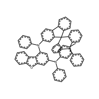 Fc1ccc(N(c2ccccc2)c2cc(N(c3ccccc3)c3ccc4c(c3)C3(c5ccccc5-4)c4ccccc4N(c4ccccc4)c4ccccc43)c3c(c2)oc2ccccc23)cc1